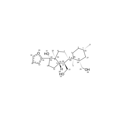 C[C@H]1CC[C@](C)([C@H]2CC[C@@]3(C)[C@@H](CC[C@@]3(O)c3ccco3)[C@@H]2CO)[C@@H](CO)C1